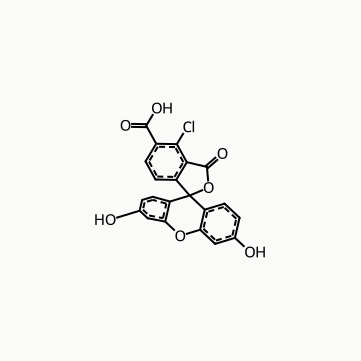 O=C(O)c1ccc2c(c1Cl)C(=O)OC21c2ccc(O)cc2Oc2cc(O)ccc21